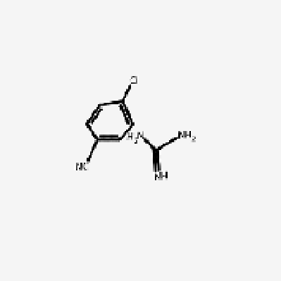 N#Cc1ccc(Cl)cc1.N=C(N)N